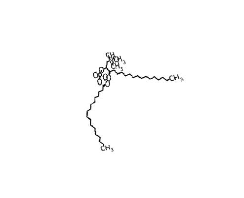 CCCCCCCC/C=C\CCCCCCCC(=O)OP(=O)([O-])OC(C[N+](C)(C)C)C(=O)CCCCCCCCCCCCCCC